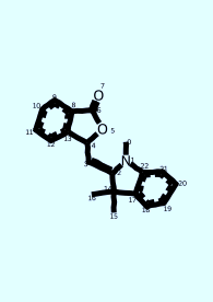 CN1C(=CC2OC(=O)c3ccccc32)C(C)(C)c2ccccc21